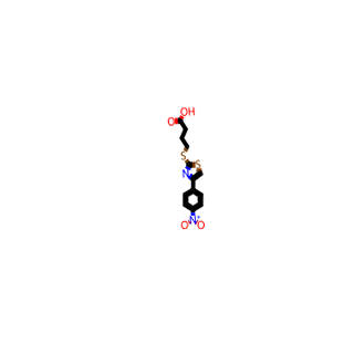 O=C(O)CCCSc1nc(-c2ccc([N+](=O)[O-])cc2)cs1